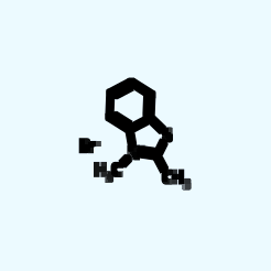 Cc1sc2ccccc2[n+]1C.[Br-]